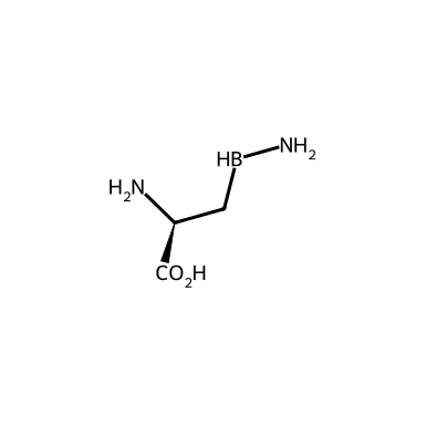 NBC[C@H](N)C(=O)O